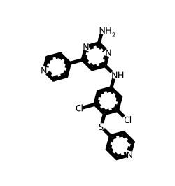 Nc1nc(Nc2cc(Cl)c(Sc3ccncc3)c(Cl)c2)cc(-c2ccncc2)n1